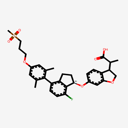 Cc1cc(OCCCS(C)(=O)=O)cc(C)c1-c1ccc(F)c2c1CC[C@H]2Oc1ccc2c(c1)OCC2C(C)C(=O)O